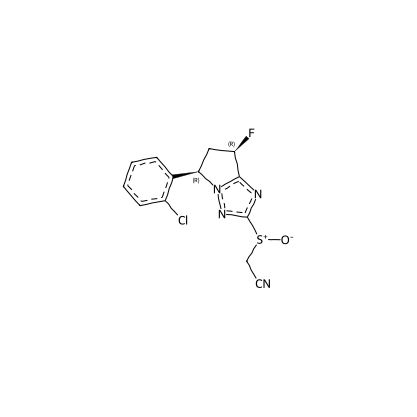 N#CC[S+]([O-])c1nc2n(n1)[C@@H](c1ccccc1Cl)C[C@H]2F